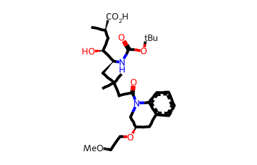 COCCO[C@@H]1Cc2ccccc2N(C(=O)CC(C)(C)C[C@H](NC(=O)OC(C)(C)C)[C@@H](O)C[C@@H](C)C(=O)O)C1